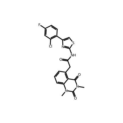 Cn1c(=O)c2c(CC(=O)Nc3nc(-c4ccc(F)cc4Cl)cs3)cccc2n(C)c1=O